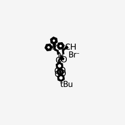 C#CCCN(CCC[P+](c1ccccc1)(c1ccccc1)c1ccccc1)C(=O)OC1CCC2(CC1)OOC1(CCC(C(C)(C)C)CC1)OO2.[Br-]